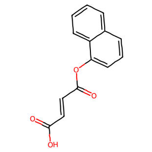 O=C(O)C=CC(=O)Oc1cccc2ccccc12